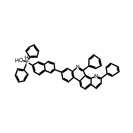 O[PH](c1ccccc1)(c1ccccc1)c1ccc2cc(-c3ccc4c(c3)nc(-c3ccccc3)c3c4ccc4ccc(-c5ccccc5)nc43)ccc2c1